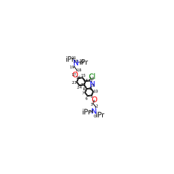 CC(C)N(CCOc1ccc2c(c1)nc(Cl)c1cc(OCCN(C(C)C)C(C)C)ccc12)C(C)C